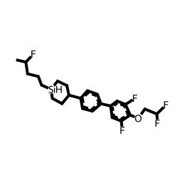 CC(F)CCC[SiH]1CCC(c2ccc(-c3cc(F)c(OCC(F)F)c(F)c3)cc2)CC1